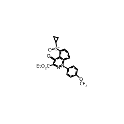 CCOC(=O)c1nn(-c2ccc(OC(F)(F)F)cc2)c2cccc([S+]([O-])C3CC3)c2c1=O